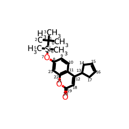 CC(C)(C)[Si](C)(C)Oc1ccc2c(C3CC=CC3)cc(=O)oc2c1